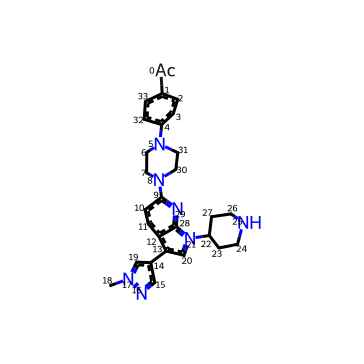 CC(=O)c1ccc(N2CCN(c3ccc4c(-c5cnn(C)c5)cn(C5CCNCC5)c4n3)CC2)cc1